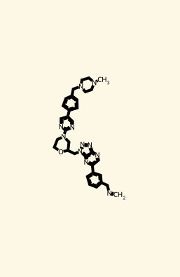 C=NCc1cccc(-c2cnc3nnn(CC4CN(c5ncc(-c6ccc(CN7CCN(C)CC7)cc6)cn5)CCO4)c3n2)c1